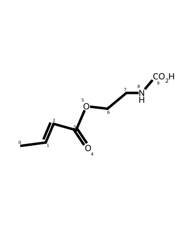 CC=CC(=O)OCCNC(=O)O